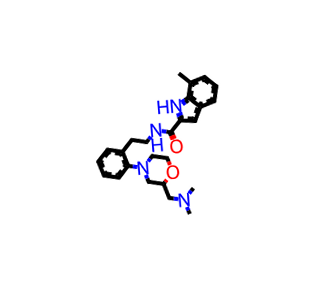 Cc1cccc2cc(C(=O)NCCc3ccccc3N3CCOC(CN(C)C)C3)[nH]c12